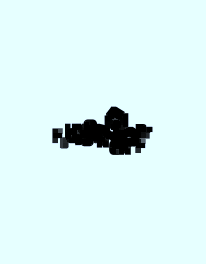 C[C@H](NS(=O)(=O)c1ccc(-c2c(C#N)c3cc(F)c(Br)cc3n2-c2ncccn2)nc1)C(F)(F)F